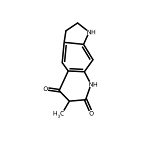 CC1C(=O)Nc2cc3c(cc2C1=O)CCN3